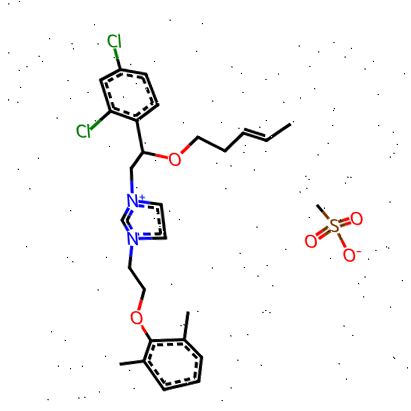 C/C=C/CCOC(C[n+]1ccn(CCOc2c(C)cccc2C)c1)c1ccc(Cl)cc1Cl.CS(=O)(=O)[O-]